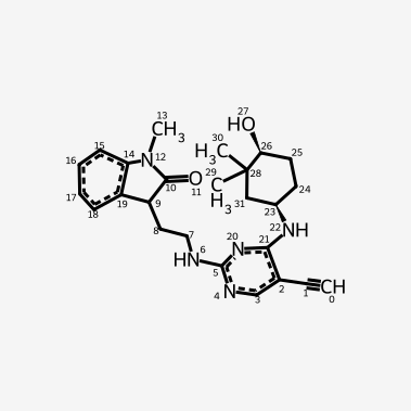 C#Cc1cnc(NCCC2C(=O)N(C)c3ccccc32)nc1N[C@@H]1CC[C@H](O)C(C)(C)C1